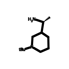 C[C@@H](N)C1CCCN(C(C)(C)C)C1